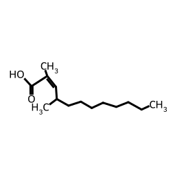 CCCCCCCCC(C)C=C(C)C(=O)O